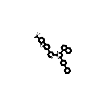 CC(=O)C(C)c1ccc2c(c1)oc1cc(-c3ccnc(-c4nc(-c5ccc(-c6ccccc6)cc5)cc(-c5cccc6ccccc56)n4)c3)ccc12